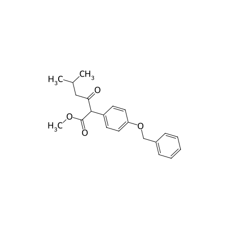 COC(=O)C(C(=O)CC(C)C)c1ccc(OCc2ccccc2)cc1